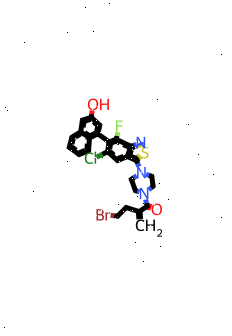 C=C(CCBr)C(=O)N1CCN(c2snc3c(F)c(-c4cc(O)cc5ccccc45)c(Cl)cc23)CC1